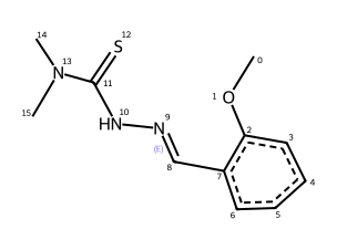 COc1ccccc1/C=N/NC(=S)N(C)C